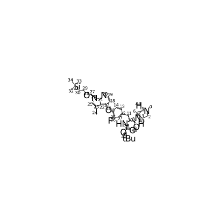 CN1C[C@@H]2C[C@H]1CN2C(=O)[C@H](Cc1ccc(Oc2ccnc3c2c(I)cn3COCC[Si](C)(C)C)c(F)c1)NC(=O)OC(C)(C)C